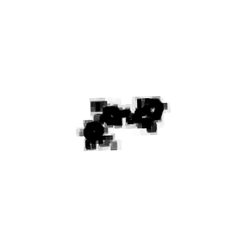 N#Cc1cc(COc2cc3n(c(=O)n2)CCCN3)ccc1Oc1ccc(Cl)c(C(F)(F)F)c1